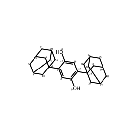 Oc1cc(C23CC4CC(CC(C4)C2)C3)c(O)cc1C12CC3CC(CC(C3)C1)C2